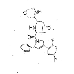 CC(C)(C)[C@H](NC(CC=O)C1COCCN1)C(=O)N1CC(c2cc(F)ccc2F)=C[C@H]1c1ccccc1